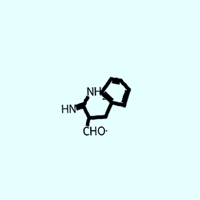 N=C(N)C([C]=O)Cc1ccccc1